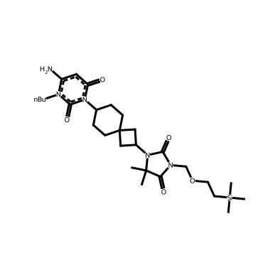 CCCCn1c(N)cc(=O)n(C2CCC3(CC2)CC(N2C(=O)N(COCC[Si](C)(C)C)C(=O)C2(C)C)C3)c1=O